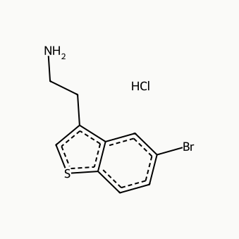 Cl.NCCc1csc2ccc(Br)cc12